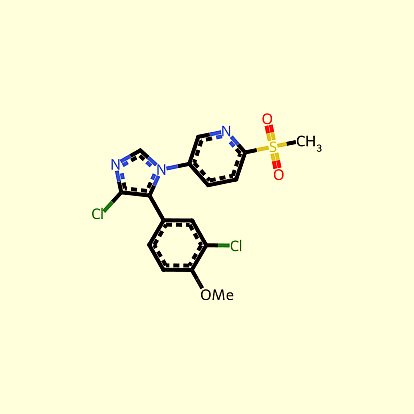 COc1ccc(-c2c(Cl)ncn2-c2ccc(S(C)(=O)=O)nc2)cc1Cl